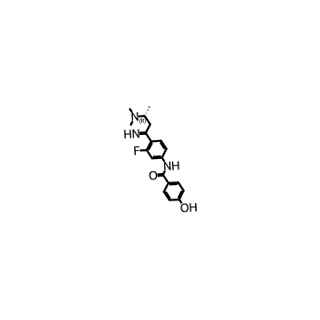 C[C@H](CC(=N)c1ccc(NC(=O)c2ccc(O)cc2)cc1F)N(C)C